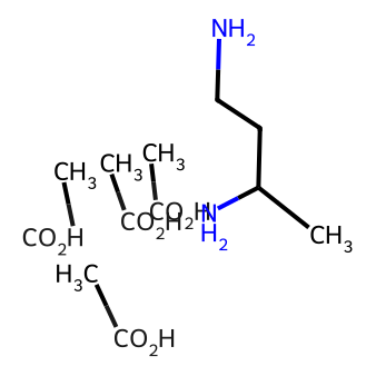 CC(=O)O.CC(=O)O.CC(=O)O.CC(=O)O.CC(N)CCN